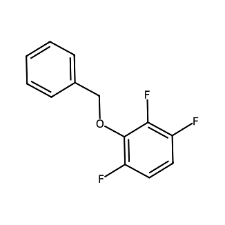 Fc1ccc(F)c(OCc2ccccc2)c1F